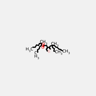 CCCCCCCC(C)(CCCC)Cc1cbccc1CC(=O)OC(C)(CCCCCC)CCCCCC